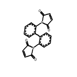 O=C1C=CC(=O)N1c1ccccc1-c1ccccc1N1C(=O)C=CC1=O